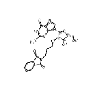 Nc1nc2c(ncn2[C@@H]2O[C@H](CO)[C@@H](O)[C@H]2OCCCN2C(=O)c3ccccc3C2=O)c(=O)[nH]1